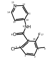 Cc1ccc(Cl)c(C(=O)Nc2ccncc2)c1F